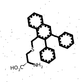 N[C@@H](CSCc1c(-c2ccccc2)c(-c2ccccc2)cc2ccccc12)C(=O)O